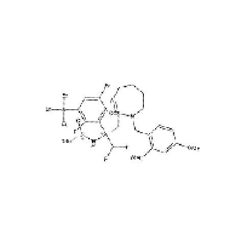 CCCC[S@+]([O-])N[C@@](CS1(=O)=NCCCCN1Cc1ccc(OC)cc1OC)(c1nc(Br)cc(S(CC)(CC)CC)c1F)C(F)F